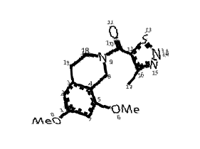 COc1cc2c(c(OC)c1)CN(C(=O)c1snnc1C)CC2